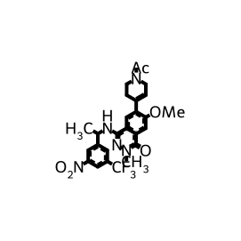 COc1cc2c(=O)n(C)nc(NC(C)c3cc([N+](=O)[O-])cc(C(F)(F)F)c3)c2cc1C1=CCN(C(C)=O)CC1